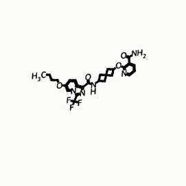 CCCCOc1ccc2c(C(=O)NC3CC4(C3)CC(Oc3ncccc3C(N)=O)C4)nc(C(F)(F)F)n2c1